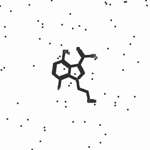 COCCn1cc(C(=O)C(F)(F)F)c2c(C)ccc(F)c21